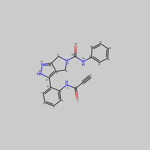 C#CC(=O)Nc1ccccc1-c1[nH]nc2c1CN(C(=O)Nc1ccccc1)C2